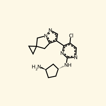 N[C@@H]1CC[C@@H](Nc2ncc(Cl)c(-c3cnn4c3CC3(CC3)C4)n2)C1